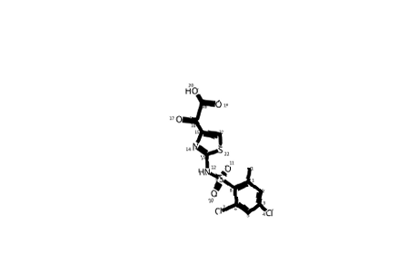 Cc1cc(Cl)cc(Cl)c1S(=O)(=O)Nc1nc(C(=O)C(=O)O)cs1